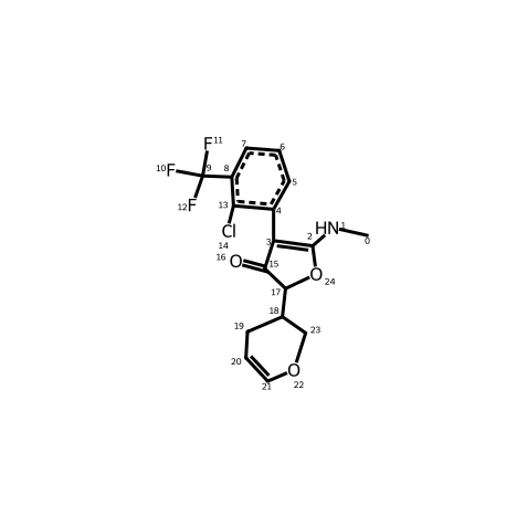 CNC1=C(c2cccc(C(F)(F)F)c2Cl)C(=O)C(C2CC=COC2)O1